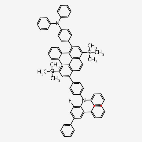 C[Si](C)(C)c1cc(-c2ccc(N(c3ccccc3)c3ccccc3)cc2)c2c3ccccc3c3c([Si](C)(C)C)cc(-c4ccc(N(c5ccccc5)c5c(F)cc(-c6ccccc6)cc5-c5ccccc5)cc4)c4ccc1c2c43